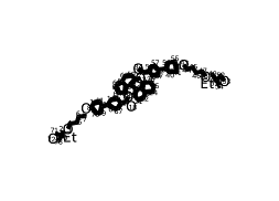 CCC1(COCCCCOc2ccc(-c3ccc(C(=O)Oc4ccc5ccccc5c4-c4c(OC(=O)c5ccc(-c6ccc(OCCCCOCC7(CC)COC7)cc6)cc5)ccc5ccccc45)cc3)cc2)COC1